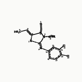 CCCCCCN1C(=O)C(=CC(=O)O)SC1=Nc1ccc(Cl)c(Cl)c1